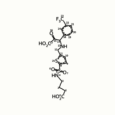 O=C(O)CCCNS(=O)(=O)c1ccc(CNC(C(=O)C(=O)O)c2cccc(C(F)(F)F)c2)s1